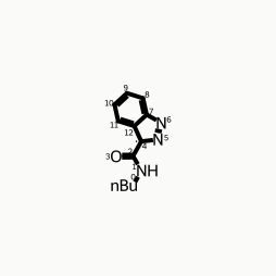 CCCCNC(=O)[C]1N=Nc2ccccc21